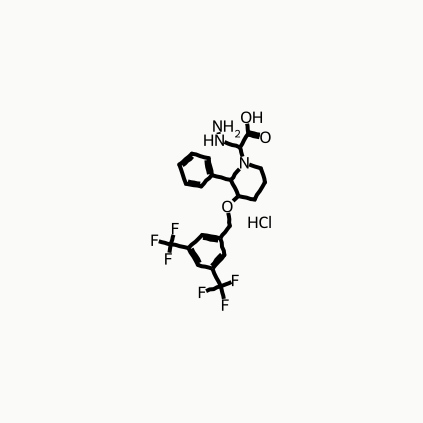 Cl.NNC(C(=O)O)N1CCCC(OCc2cc(C(F)(F)F)cc(C(F)(F)F)c2)C1c1ccccc1